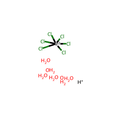 O.O.O.O.O.O.[Cl][Ir-2]([Cl])([Cl])([Cl])([Cl])[Cl].[H+]